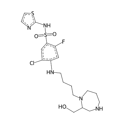 O=S(=O)(Nc1nccs1)c1cc(Cl)c(NCCCCN2CCCNCC2CO)cc1F